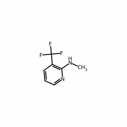 CNc1ncc[c]c1C(F)(F)F